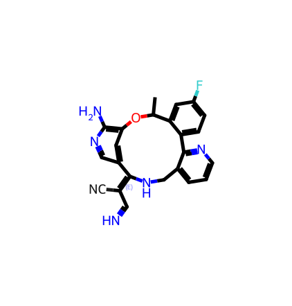 CC1Oc2cc(cnc2N)/C(=C(\C#N)C=N)NCc2cccnc2-c2ccc(F)cc21